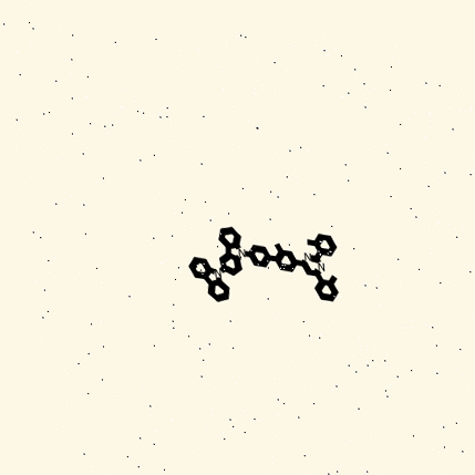 Cc1cc(-c2cc(-c3ccccc3C)nc(-c3ccccc3C)n2)ccc1-c1ccc(-n2c3ccccc3c3cc(-n4c5ccccc5c5ccccc54)ccc32)cc1